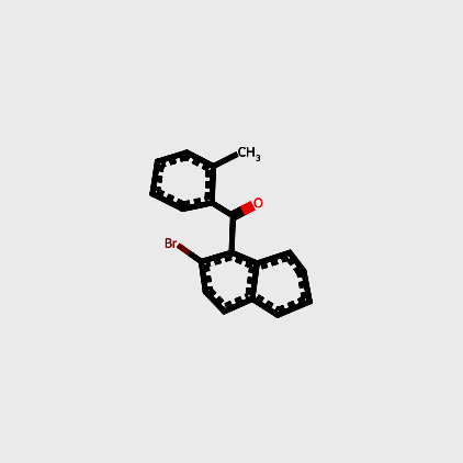 Cc1ccccc1C(=O)c1c(Br)ccc2ccccc12